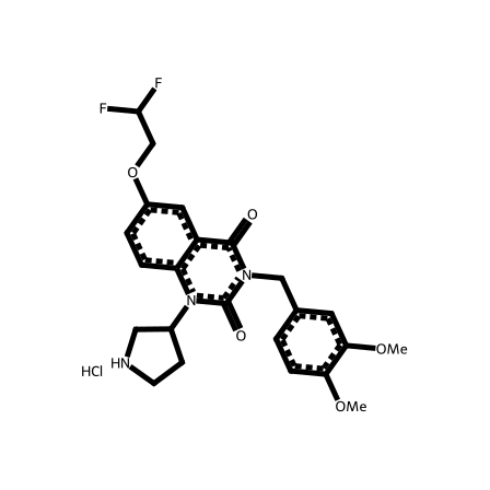 COc1ccc(Cn2c(=O)c3cc(OCC(F)F)ccc3n(C3CCNC3)c2=O)cc1OC.Cl